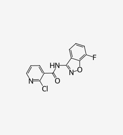 O=C(Nc1noc2c(F)cccc12)c1cccnc1Cl